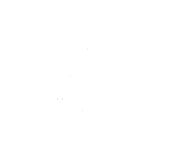 CC12CCS(=O)(=O)OCC3(C)CC13C2